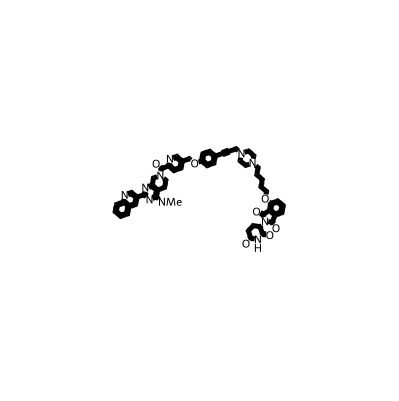 CNc1nc(-c2cnc3ccccc3c2)nc2c1CCN(C(=O)c1ccc(COc3ccc(C#CCN4CCN(CCCCCOc5cccc6c5C(=O)N(C5CCC(=O)NC5=O)C6=O)CC4)cc3)cn1)C2